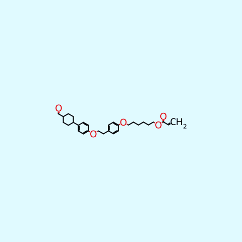 C=CC(=O)OCCCCCCOc1ccc(CCOc2ccc(C3CCC(C=O)CC3)cc2)cc1